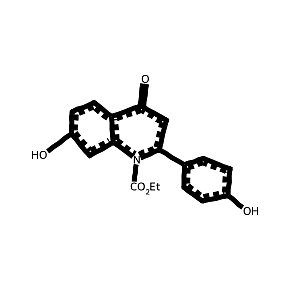 CCOC(=O)n1c(-c2ccc(O)cc2)cc(=O)c2ccc(O)cc21